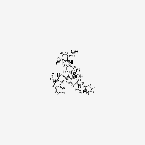 CCN(Cc1ccccc1)c1ccc(C(c2ccc(N(CC)Cc3ccccc3)cc2)c2ccc(Nc3cc(OC)ccc3CO)cc2S(=O)(=O)O)cc1